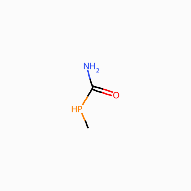 CPC(N)=O